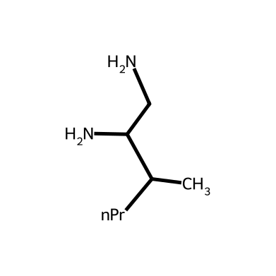 CCCC(C)C(N)CN